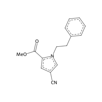 COC(=O)c1cc(C#N)cn1CCc1ccccc1